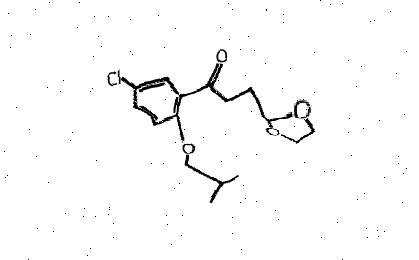 CC(C)COc1ccc(Cl)cc1C(=O)CCC1OCCO1